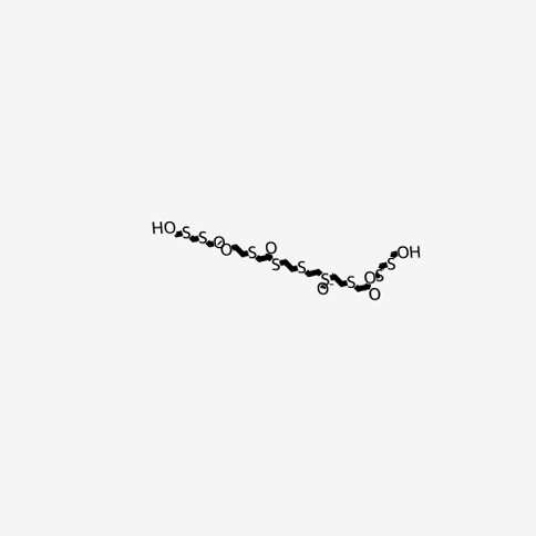 O=C(CSCC[S+]([O-])CCSCCSC(=O)CSCCOOCSCSCO)OSCSCO